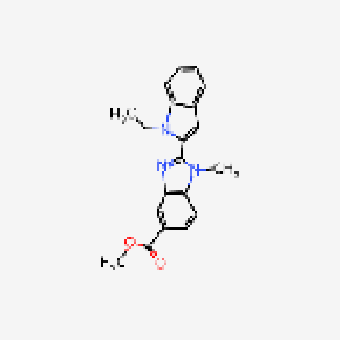 CCn1c(-c2nc3cc(C(=O)OC)ccc3n2C)cc2ccccc21